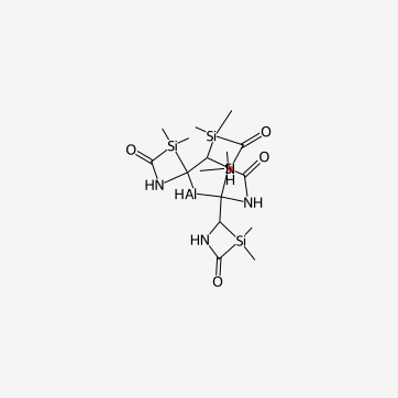 C[Si]1(C)C(=O)NC1[C]1([AlH][C]2(C3NC(=O)[Si]3(C)C)NC(=O)[Si]2(C)C)NC(=O)[Si]1(C)C